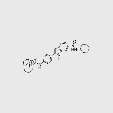 O=C(NC1CCCCC1)c1ccc2cc(-c3ccc(NC(=O)C45CC6CC(C4)C(=O)C(C6)C5)cc3)[nH]c2c1